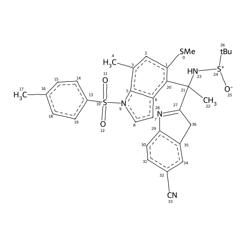 CSc1cc(C)c2c(ccn2S(=O)(=O)c2ccc(C)cc2)c1C(C)(N[S+]([O-])C(C)(C)C)C1=Nc2ccc(C#N)cc2C1